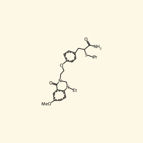 CCN1CN(CCOc2ccc(CC(SC(C)C)C(N)=O)cc2)C(=O)c2cc(OC)ccc21